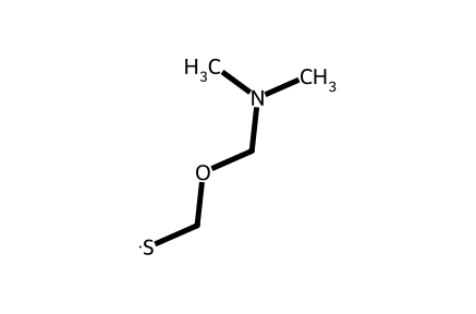 CN(C)COC[S]